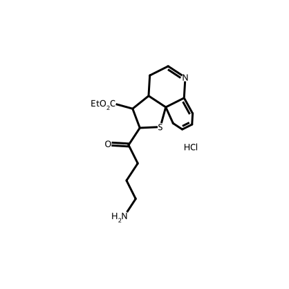 CCOC(=O)C1C(C(=O)CCCN)SC23CC=CC=C2N=CCC13.Cl